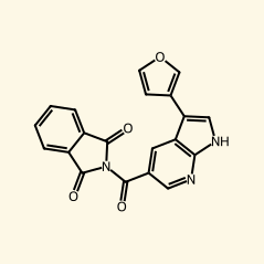 O=C(c1cnc2[nH]cc(-c3ccoc3)c2c1)N1C(=O)c2ccccc2C1=O